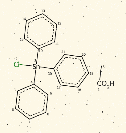 CC(=O)O.[Cl][Sn]([c]1ccccc1)([c]1ccccc1)[c]1ccccc1